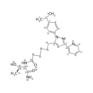 CC(C)c1ccc(-n2nc(-c3ccccn3)cc2CCCCCC(=O)N[C@H](C(N)=O)[C@@H](C)O)cc1